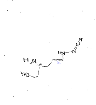 [N-]=[N+]=NN/C=C/C[C@@H](N)CO